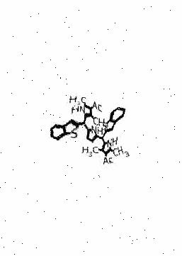 CC(=O)c1c(C)[nH]c(C(c2ccc(C(c3cc4ccccc4s3)c3[nH]c(C)c(C(C)=O)c3C)[nH]2)c2cc3ccccc3s2)c1C